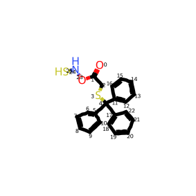 O=C(CSC(c1ccccc1)(c1ccccc1)c1ccccc1)ONS